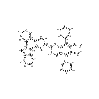 c1ccc(-c2c3ccccc3c(-c3ccccc3)c3cc(-c4ccc5c6ccccc6c6nc7ccccc7n6c5c4)ccc23)cc1